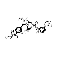 Cc1cccc(NC(=O)N2C[C@@H](C)N(Cc3ccc(C(=O)NO)cc3)[C@@H](C)C2)c1